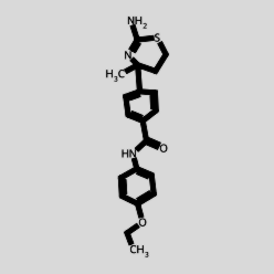 CCOc1ccc(NC(=O)c2ccc(C3(C)CCSC(N)=N3)cc2)cc1